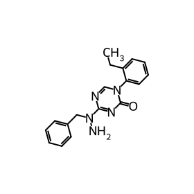 CCc1ccccc1-n1cnc(N(N)Cc2ccccc2)nc1=O